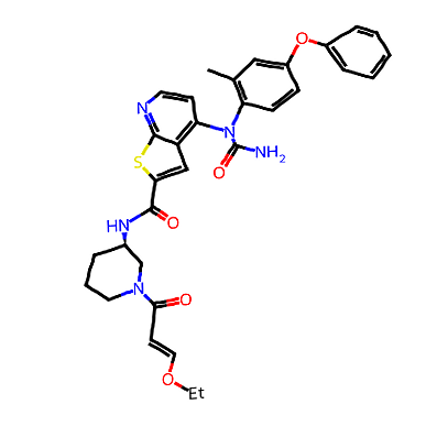 CCO/C=C/C(=O)N1CCC[C@@H](NC(=O)c2cc3c(N(C(N)=O)c4ccc(Oc5ccccc5)cc4C)ccnc3s2)C1